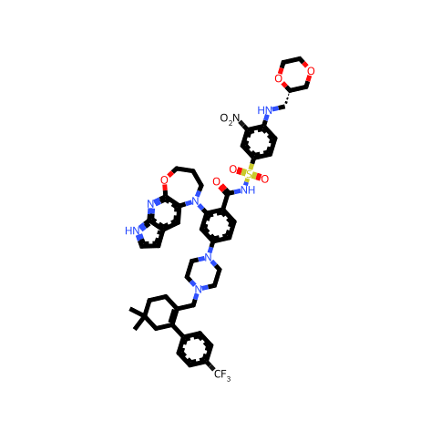 CC1(C)CCC(CN2CCN(c3ccc(C(=O)NS(=O)(=O)c4ccc(NC[C@H]5COCCO5)c([N+](=O)[O-])c4)c(N4CCCOc5nc6[nH]ccc6cc54)c3)CC2)=C(c2ccc(C(F)(F)F)cc2)C1